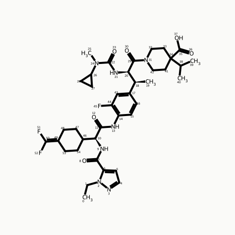 CCn1nccc1C(=O)N[C@H](C(=O)Nc1ccc([C@H](C)[C@@H](NC(=O)N(C)C2CC2)C(=O)N2CCC(C(=O)O)(C(C)C)CC2)cc1F)C1CCC(=C(F)F)CC1